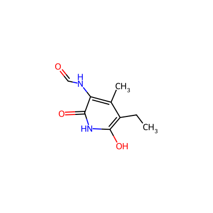 CCc1c(O)[nH]c(=O)c(NC=O)c1C